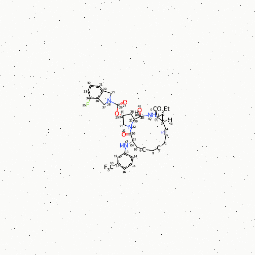 CCOC(=O)[C@@]12C[C@H]1/C=C\CCCCC[C@H](Nc1cccc(C(F)(F)F)c1)C(=O)N1C[C@H](OC(=O)N3Cc4cccc(F)c4C3)C[C@H]1C(=O)N2